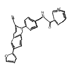 N#Cc1cc2cc(-c3ccco3)ccc2n1-c1ccc(NC(=O)c2cccnc2)cc1